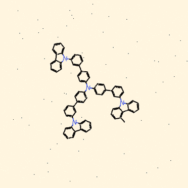 Cc1cccc2c1c1ccccc1n2-c1cccc(-c2ccc(N(c3ccc(-c4cccc(-n5c6ccccc6c6ccccc65)c4)cc3)c3ccc(-c4cccc(-n5c6ccccc6c6ccccc65)c4)cc3)cc2)c1